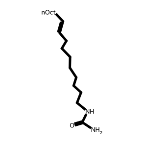 CCCCCCCCC=CCCCCCCCCNC(N)=O